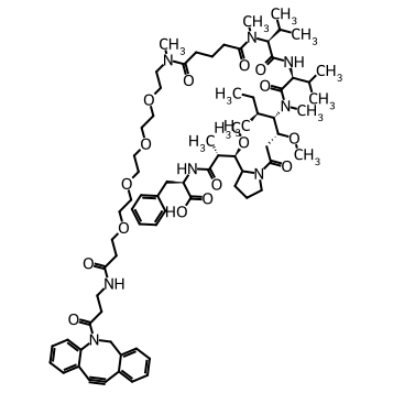 CC[C@H](C)[C@@H]([C@@H](CC(=O)N1CCCC1[C@H](OC)[C@@H](C)C(=O)N[C@H](Cc1ccccc1)C(=O)O)OC)N(C)C(=O)[C@@H](NC(=O)[C@H](C(C)C)N(C)C(=O)CCCC(=O)N(C)CCOCCOCCOCCOCCC(=O)NCCC(=O)N1Cc2ccccc2C#Cc2ccccc21)C(C)C